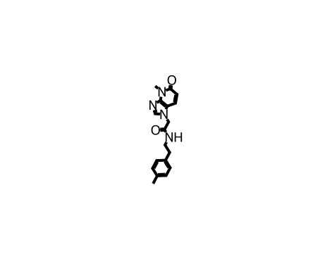 Cc1ccc(CCNC(=O)Cn2cnc3c2ccc(=O)n3C)cc1